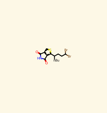 CCCCC(CCC(Br)Br)c1scc2c1C(=O)NC2=O